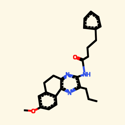 CCCc1nc2c(nc1NC(=O)CCCc1ccccc1)CCc1cc(OC)ccc1-2